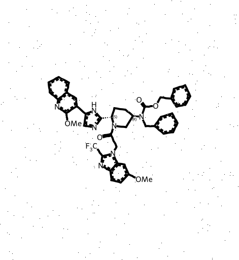 COc1ccc2nc(C(F)(F)F)n(CC(=O)N3C[C@H](N(Cc4ccccc4)C(=O)OCc4ccccc4)CC[C@H]3c3ncc(-c4cc5ccccc5nc4OC)[nH]3)c2c1